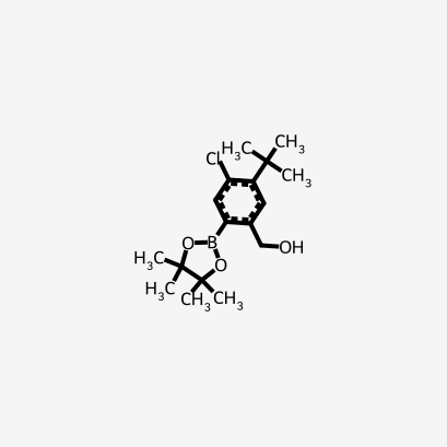 CC(C)(C)c1cc(CO)c(B2OC(C)(C)C(C)(C)O2)cc1Cl